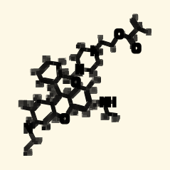 C=C(C)C(=O)OCCN1CCN(C(=O)c2ccccc2-c2c3cc(C)/c(=N/CC)cc-3oc3cc(NCC)c(C)cc23)CC1